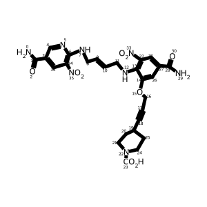 NC(=O)c1cnc(NCC=CCNc2c(OCC#CC3CCN(C(=O)O)CC3)cc(C(N)=O)cc2[N+](=O)[O-])c([N+](=O)[O-])c1